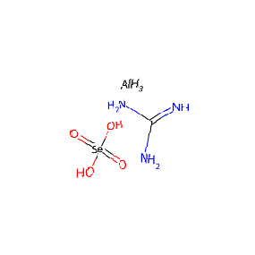 N=C(N)N.O=[Se](=O)(O)O.[AlH3]